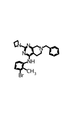 Cc1c(Br)cccc1Nc1nc(N2CCC2)nc2c1CCN(Cc1ccccc1)C2